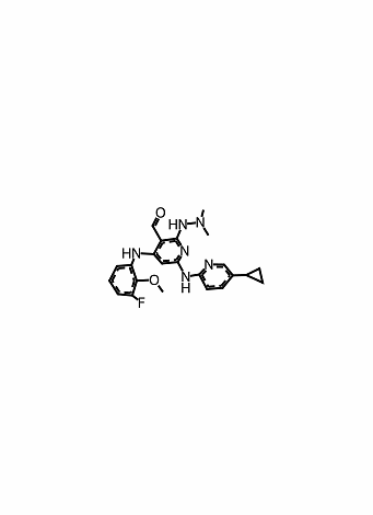 COc1c(F)cccc1Nc1cc(Nc2ccc(C3CC3)cn2)nc(NN(C)C)c1C=O